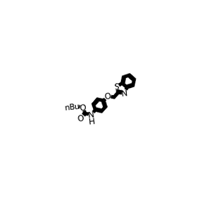 CCCCOC(=O)Nc1ccc(OCc2nc3ccccc3s2)cc1